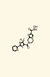 Cc1nc(-c2ccccn2)sc1C(=O)N1CCn2cc(C(=O)NO)nc2C1